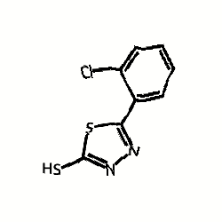 Sc1nnc(-c2ccccc2Cl)s1